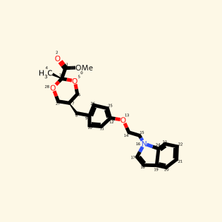 COC(=O)[C@]1(C)OC[C@@H](Cc2ccc(OCCn3ccc4ccccc43)cc2)CO1